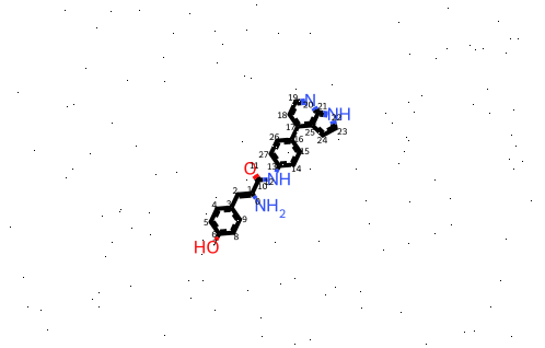 NC(=Cc1ccc(O)cc1)C(=O)Nc1ccc(-c2ccnc3[nH]ccc23)cc1